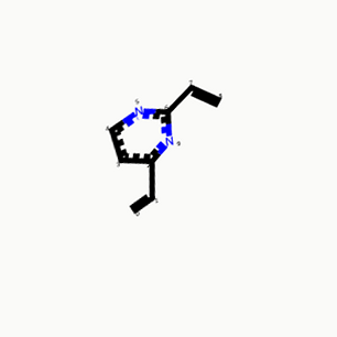 C=Cc1ccnc(C=C)n1